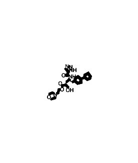 O=C(N[C@H](Cc1ccc(-c2ccccc2)cc1)C[C@@H](CO)C(=O)OCCN1CCOCC1)c1cnn[nH]1